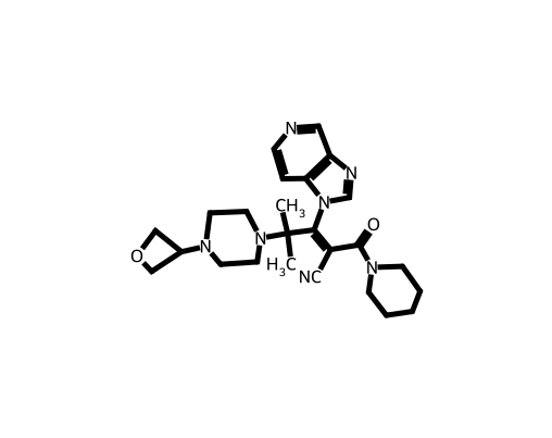 CC(C)(C(=C(C#N)C(=O)N1CCCCC1)n1cnc2cnccc21)N1CCN(C2COC2)CC1